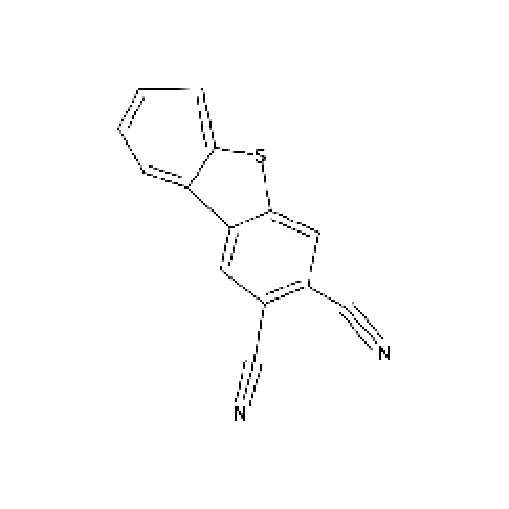 N#Cc1cc2sc3ccccc3c2cc1C#N